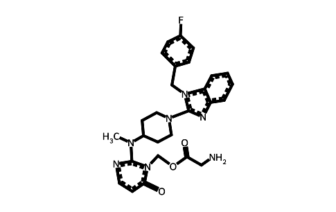 CN(c1nccc(=O)n1COC(=O)CN)C1CCN(c2nc3ccccc3n2Cc2ccc(F)cc2)CC1